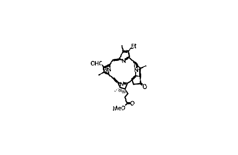 CCC1=C(C)c2cc3[nH]c(cc4nc(c5c6[nH]c(cc1n2)c(C)c6C(=O)C5)[C@@H](CCC(=O)OC)[C@@H]4C)c(C)c3C=O